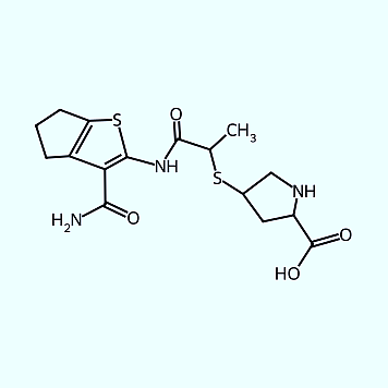 CC(SC1CNC(C(=O)O)C1)C(=O)Nc1sc2c(c1C(N)=O)CCC2